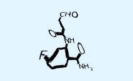 NC(=O)c1ccc(F)cc1NC(=O)CCC=O